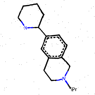 CC(C)N1CCc2cc(C3CCCC[N]3)ccc2C1